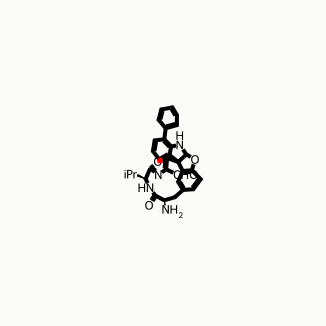 CC(C)[C@@H]1NC(=O)[C@@H](N)Cc2ccc3c(c2)C2(c4cccc(-c5ccccc5)c4NC2O3)c2oc1nc2C=O